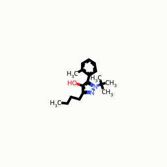 CCCCc1nn(C(C)(C)C)c(-c2ccccc2C)c1O